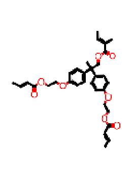 CC=CC(=O)OCCOc1ccc(C(C)(COC(=O)C(C)=CC)c2ccc(OCCOC(=O)C=CC)cc2)cc1